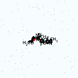 C=CC(=O)N1CC2(n3nc(-c4cc(F)c(Oc5cc(F)c6c(c5)ncn6C)c(Cl)c4)c4c(C)ncnc43)CC1C2